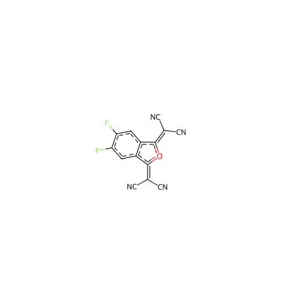 N#CC(C#N)=c1oc(=C(C#N)C#N)c2cc(F)c(F)cc12